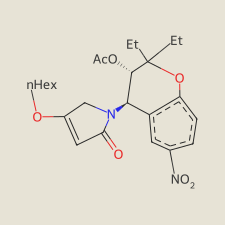 CCCCCCOC1=CC(=O)N([C@@H]2c3cc([N+](=O)[O-])ccc3OC(CC)(CC)[C@H]2OC(C)=O)C1